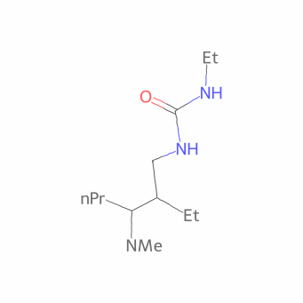 CCCC(NC)C(CC)CNC(=O)NCC